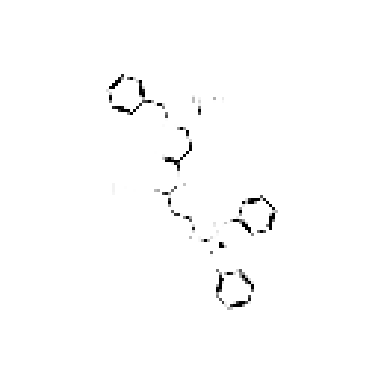 CCCCCCCCCCC[C@H](CC(=O)NC(CCOP(=O)(Oc1ccccc1)Oc1ccccc1)C(=O)O)OCc1ccccc1